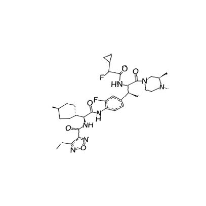 CCc1nonc1C(=O)N[C@H](C(=O)Nc1ccc([C@H](C)C(NC(=O)C(F)C2CC2)C(=O)N2CCN(C)[C@H](C)C2)cc1F)[C@H]1CC[C@H](C)CC1